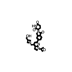 O=C1CCC(N2Cc3cc(-c4cc(CN5CC(CO)C5)c5ccn(C6COC6)c5n4)ccc3C2=O)C(=O)N1